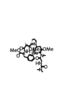 CC[C@H](C)[C@@H]([C@@H](CC(=O)N1CCC[C@H]1[C@H](OC)[C@@H](C)C(=O)N[C@@H](Cc1ccccc1)C(=O)OC)OC)N(C)C(=O)CNC(=O)N(C)C